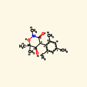 Cc1cc(C)c(C2C(=O)N(C)OC(C)(C)C2=O)c(C)c1